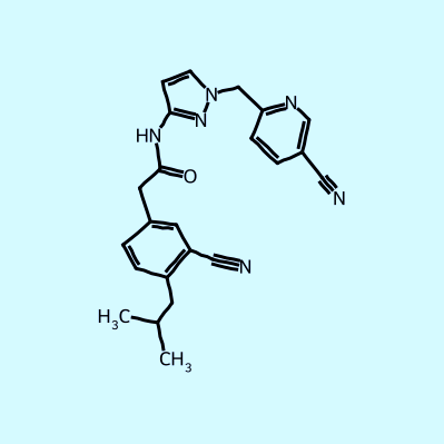 CC(C)Cc1ccc(CC(=O)Nc2ccn(Cc3ccc(C#N)cn3)n2)cc1C#N